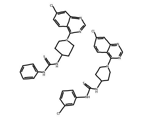 S=C(Nc1cccc(Cl)c1)NC1CCN(c2ncnc3cc(Cl)ccc23)CC1.S=C(Nc1ccccc1)NC1CCN(c2ncnc3cc(Cl)ccc23)CC1